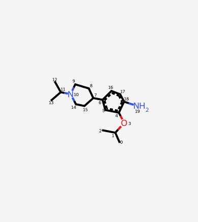 CC(C)Oc1cc(C2CCN(C(C)C)CC2)ccc1N